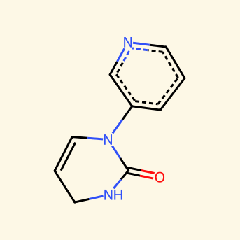 O=C1NCC=CN1c1cccnc1